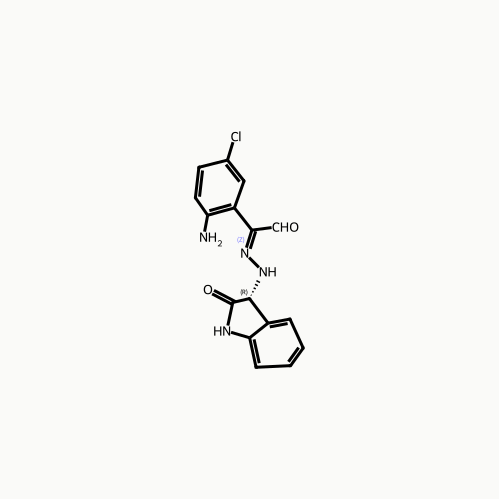 Nc1ccc(Cl)cc1/C(C=O)=N/N[C@H]1C(=O)Nc2ccccc21